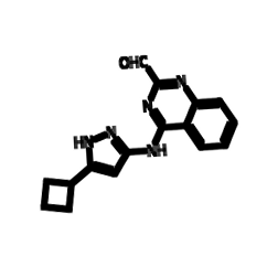 O=Cc1nc(Nc2cc(C3CCC3)[nH]n2)c2ccccc2n1